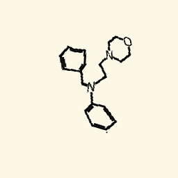 [c]1ccc(N(CCN2CCOCC2)Cc2ccccc2)cc1